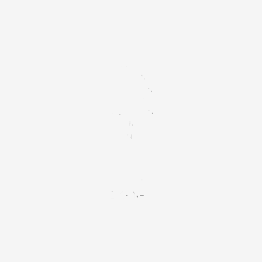 Cn1nc(Nc2cc(C3CCC(NC(=O)O)C3)nn2C(C)(C)C)ccc1=O